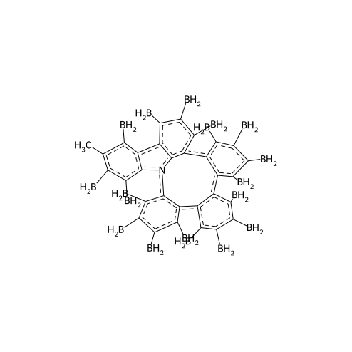 Bc1c(B)c(B)c2c(c1B)c1c(B)c(B)c(B)c(B)c1c1c(B)c(B)c(B)c3c4c(B)c(C)c(B)c(B)c4n(c4c(B)c(B)c(B)c(B)c24)c13